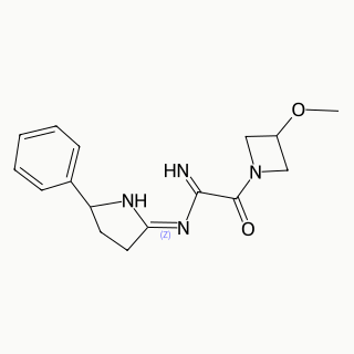 COC1CN(C(=O)C(=N)/N=C2/CCC(c3ccccc3)N2)C1